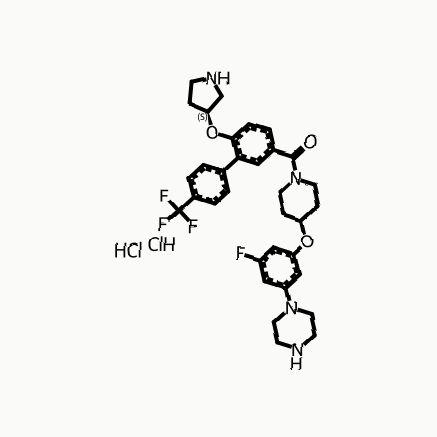 Cl.Cl.O=C(c1ccc(O[C@H]2CCNC2)c(-c2ccc(C(F)(F)F)cc2)c1)N1CCC(Oc2cc(F)cc(N3CCNCC3)c2)CC1